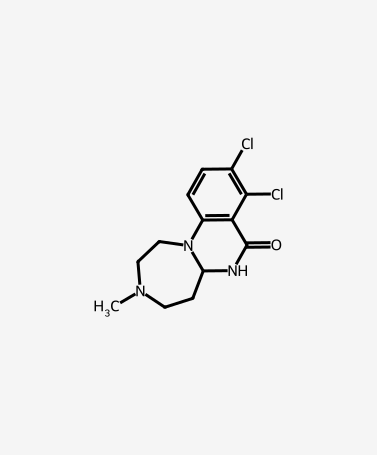 CN1CCC2NC(=O)c3c(ccc(Cl)c3Cl)N2CC1